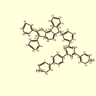 C1=CC(c2ccc(-c3nc(C4=CCNC=C4)nc(-c4cccc(-n5c6ccccc6c6c7sc(-c8ccccc8)c(-c8ccccc8)c7ccc65)c4)n3)cc2)=CCN1